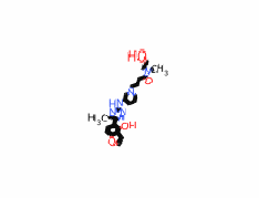 Cc1nc(N[C@@H]2CCCN(CCCC(=O)N(C)CCO)C2)nnc1-c1ccc2c(c1O)CCO2